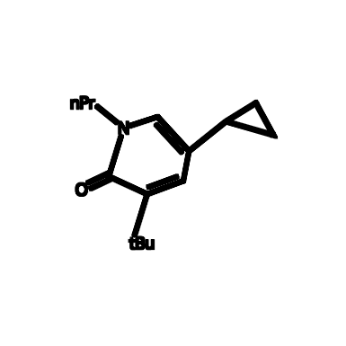 CCCn1cc(C2CC2)cc(C(C)(C)C)c1=O